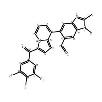 Cc1nc2cc(-c3cccn4c(C(=O)c5cc(F)c(F)c(F)c5)ccc34)c(C=O)cc2n1C